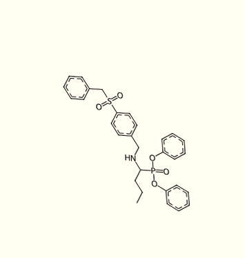 CCCC(NCc1ccc(S(=O)(=O)Cc2ccccc2)cc1)P(=O)(Oc1ccccc1)Oc1ccccc1